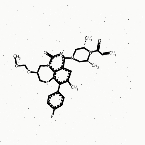 C=CC(=O)N1[C@H](C)CN(c2nc(=O)n3c4c(c(-c5ccc(F)cc5)c(C)cc24)SCC(OCOC)C3)C[C@@H]1C